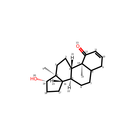 C[C@]12CC[C@H]3[C@@H](CCC4CC=CC(=O)[C@@]43C)[C@@H]1CC[C@@H]2O